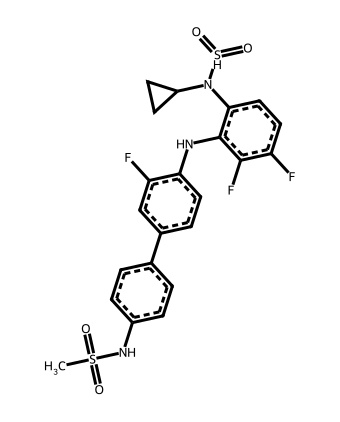 CS(=O)(=O)Nc1ccc(-c2ccc(Nc3c(N(C4CC4)[SH](=O)=O)ccc(F)c3F)c(F)c2)cc1